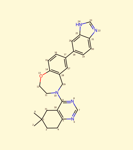 CC1(C)CCc2ncnc(N3CCOc4ccc(-c5ccc6nc[nH]c6c5)cc4C3)c2C1